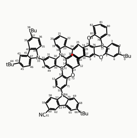 CC(C)(C)c1ccc2c(c1)Oc1cc(-c3cc4c5c(c3)N(c3ccccc3-c3ccccc3)c3cc(-n6c7ccc(C(C)(C)C)cc7c7cc(C(C)(C)C)ccc76)ccc3B5c3ccc(-n5c6ccc(C#N)cc6c6cc(C(C)(C)C)ccc65)cc3O4)cc3c1B2c1ccccc1O3